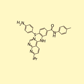 Cc1ccc(NC(=O)c2ccc(Sc3ccc(N)cc3)c(Nc3ncnc4nc(C(C)C)ccc34)c2)cc1